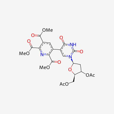 COC(=O)c1cc(-c2cn([C@H]3CC(OC(C)=O)[C@@H](COC(C)=O)O3)c(=O)[nH]c2=O)c(C(=O)OC)nc1C(=O)OC